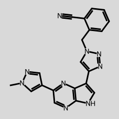 Cn1cc(-c2cnc3[nH]cc(-c4cn(Cc5ccccc5C#N)nn4)c3n2)cn1